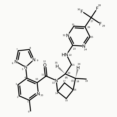 Cc1ccc(-n2nccn2)c(C(=O)N2C3CC(C3)[C@H](C)[C@@H]2CNc2ncc(C(F)(F)F)cn2)n1